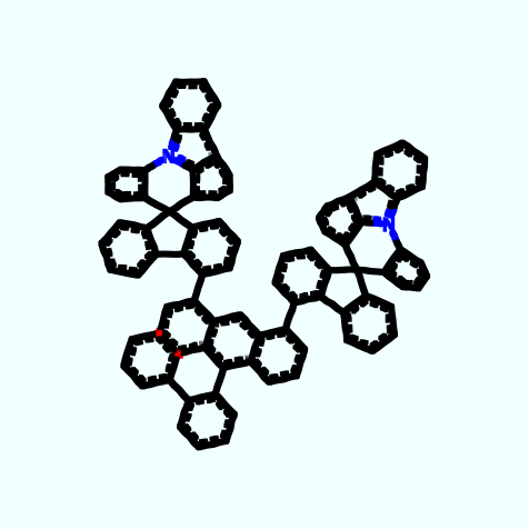 c1ccc(-c2ccccc2-c2c3cccc(-c4cccc5c4-c4ccccc4C54c5ccccc5-n5c6ccccc6c6cccc4c65)c3cc3c(-c4cccc5c4-c4ccccc4C54c5ccccc5-n5c6ccccc6c6cccc4c65)cccc23)cc1